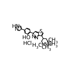 CC1(C)CC(c2csc3cc(-c4ccc(-c5cn[nH]c5)cc4O)nnc23)CC(C)(C)N1.Cl